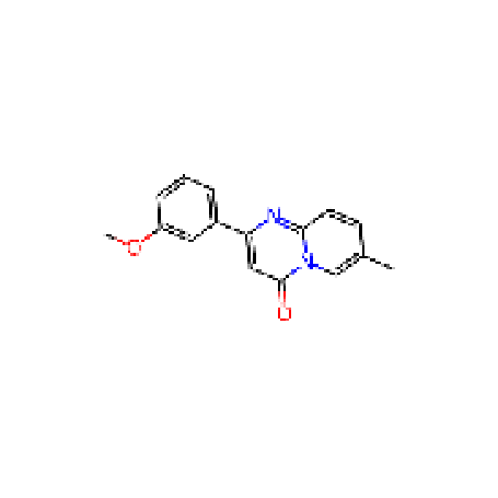 COc1cccc(-c2cc(=O)n3cc(C)ccc3n2)c1